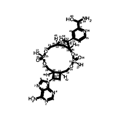 Nc1ncnc2c1ncn2[C@@H]1C[C@@H]2CO[P@@](=O)(S)O[C@@H]3[C@H](O)[C@@H](CO[P@](=O)(S)OC[C@H]21)O[C@H]3c1ccnc(C(N)O)c1